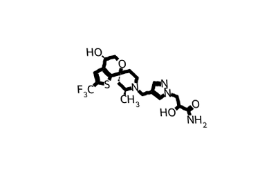 C[C@H]1C[C@@]2(CCN1Cc1cnn(CC(O)C(N)=O)c1)OC[C@@H](O)c1cc(C(F)(F)F)sc12